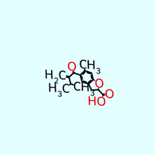 C=C(C(=O)c1cc2c(cc1C)OC(C(=O)O)C2)C(C)C